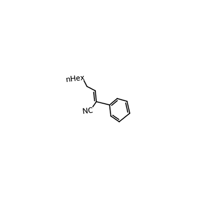 CCCCCCC/C=C(\C#N)c1ccccc1